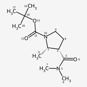 C[C@H]1[C@@H](C(=O)N(C)C)CCN1C(=O)OC(C)(C)C